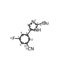 CC(C)(C)c1ncc(-c2cc(F)cc(C#N)c2)[nH]1